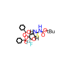 CC(C)(C)OC(=O)NC1=N[C@@H]2[C@@H](OC(=O)c3ccccc3)[C@H](OC(=O)c3ccccc3)[C@@H](C(F)F)O[C@@H]2S1